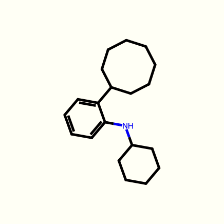 c1ccc(C2CCCCCCC2)c(NC2CCCCC2)c1